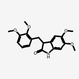 COc1cc2c(cc1OC)C(Cc1cccc(OC)c1OC)C(=O)N2